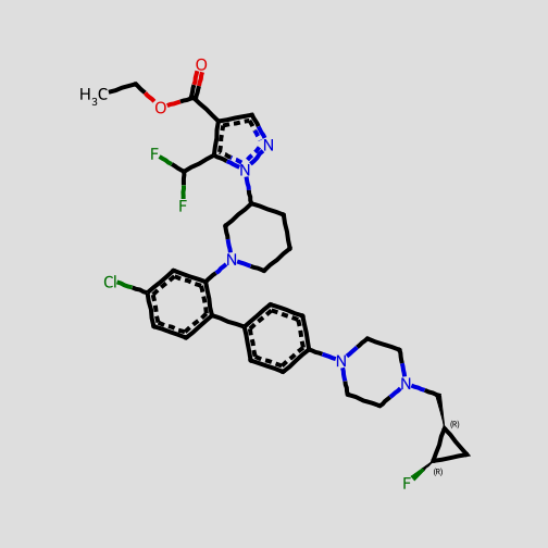 CCOC(=O)c1cnn(C2CCCN(c3cc(Cl)ccc3-c3ccc(N4CCN(C[C@H]5C[C@H]5F)CC4)cc3)C2)c1C(F)F